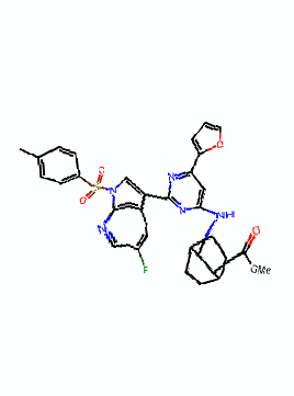 COC(=O)C1C2CCC(CC2)C1Nc1cc(-c2ccco2)nc(-c2cn(S(=O)(=O)c3ccc(C)cc3)c3ncc(F)cc23)n1